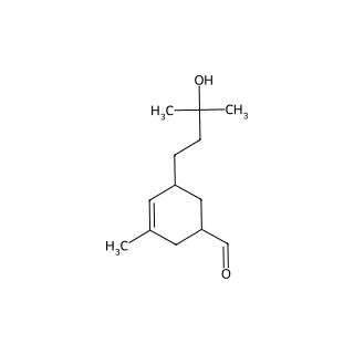 CC1=CC(CCC(C)(C)O)CC(C=O)C1